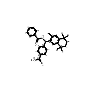 Cc1cc2c(cc1C(NC(=O)c1ccccc1)c1ccc(C(=O)O)cc1)C(C)(C)CCC2(C)C